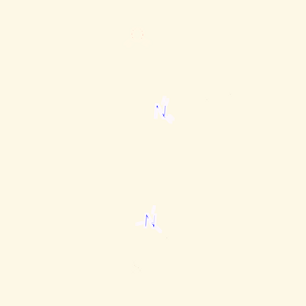 c1ccc(-c2cc(-c3ccc(N4c5ccccc5Sc5ccccc54)cc3)nc3c2ccc2oc4cc5ccccc5cc4c23)cc1